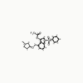 CN1CCC(OCc2cccc3c2c(OC(=O)C(F)(F)F)cn3S(=O)(=O)c2ccccc2)C1